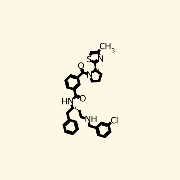 Cc1csc([C@H]2CCCN2C(=O)c2cccc(C(=O)N[C@H](CCNCc3cccc(Cl)c3)Cc3ccccc3)c2)n1